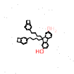 Bc1ccc2c(c1)C(CCCCc1ccc3c(c1)CC3)(CCCCc1ccc3c(c1)CC3)c1cc(O)ccc1-2